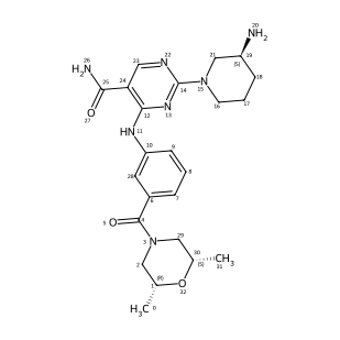 C[C@@H]1CN(C(=O)c2cccc(Nc3nc(N4CCC[C@H](N)C4)ncc3C(N)=O)c2)C[C@H](C)O1